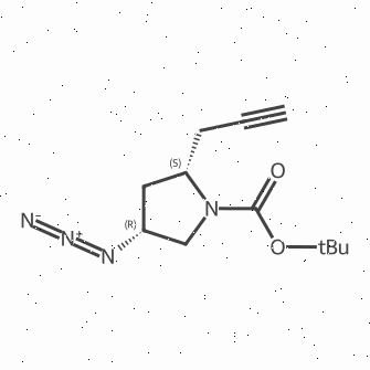 C#CC[C@H]1C[C@@H](N=[N+]=[N-])CN1C(=O)OC(C)(C)C